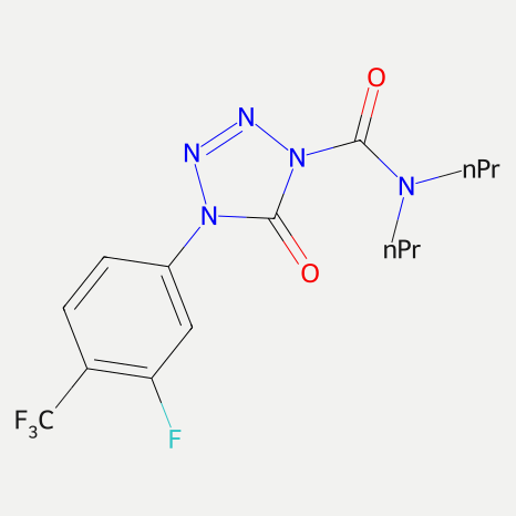 CCCN(CCC)C(=O)n1nnn(-c2ccc(C(F)(F)F)c(F)c2)c1=O